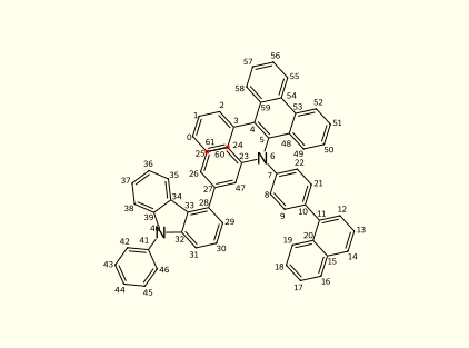 c1ccc(-c2c(N(c3ccc(-c4cccc5ccccc45)cc3)c3cccc(-c4cccc5c4c4ccccc4n5-c4ccccc4)c3)c3ccccc3c3ccccc23)cc1